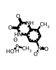 C[PH](=O)O.Cc1cc([N+](=O)[O-])cc2[nH]c(=O)c(=O)[nH]c12